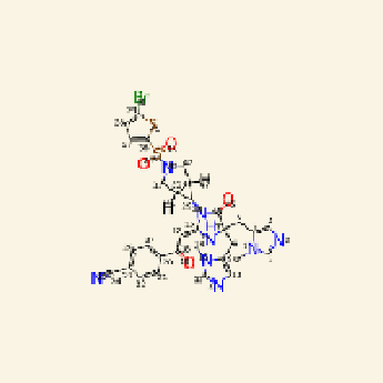 Cn1cncc1CC1(Cc2cncn2C)NC(=CC(=O)c2ccc(C#N)cc2)N([C@H]2[C@@H]3CN(S(=O)(=O)c4ccc(Br)s4)C[C@@H]32)C1=O